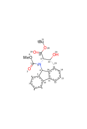 COC(=O)N(C1c2ccccc2-c2ccccc21)[C@H](C(=O)OC(C)(C)C)[C@@H](C)O